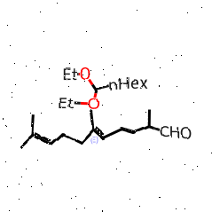 CC(C)=CCC/C(C)=C/CCC(C)C=O.CCCCCCC(OCC)OCC